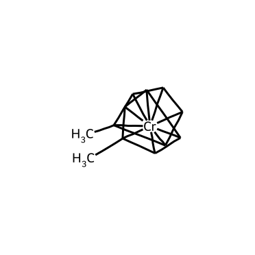 C[C]12[CH]3[CH]4[CH]5[CH]1[Cr]45321678[CH]2[CH]1[CH]6[C]7(C)[CH]28